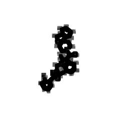 Cc1oc(-c2ccccc2F)nc1Cn1c(C)c(C(=O)N2CCC3(CC2)OCc2ccccc23)c2ccccc21